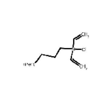 C=C[Si](Cl)(C=C)CCCCCCCC